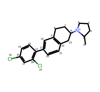 CC1CCCN1C1CCc2cc(-c3ccc(Cl)cc3Cl)ccc2C1